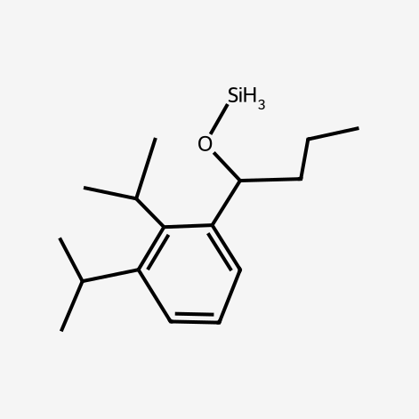 CCCC(O[SiH3])c1cccc(C(C)C)c1C(C)C